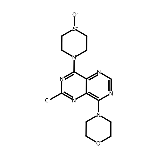 [O-][S+]1CCN(c2nc(Cl)nc3c(N4CCOCC4)ncnc23)CC1